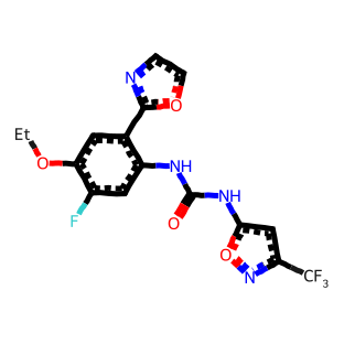 CCOc1cc(-c2ncco2)c(NC(=O)Nc2cc(C(F)(F)F)no2)cc1F